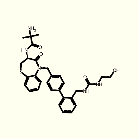 CC(C)(N)C(=O)N[C@@H]1CSc2ccccc2N(Cc2ccc(-c3ccccc3CNC(=O)NCCO)cc2)C1=O